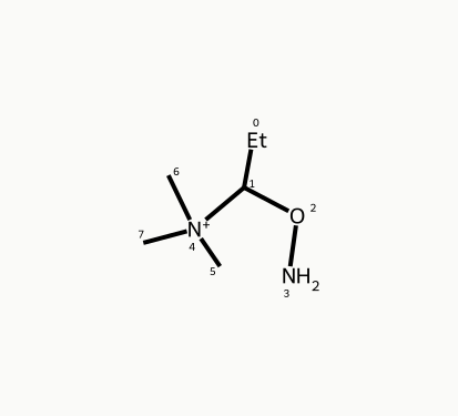 CCC(ON)[N+](C)(C)C